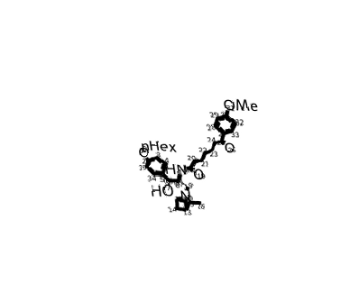 CCCCCCOc1ccc([C@@H](O)[C@@H](CN2C3CC(C3)C2C)NC(=O)CCCCCC(=O)c2ccc(OC)cc2)cc1